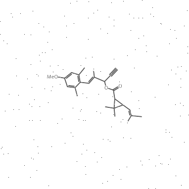 C#CC(OC(=O)C1C(C=C(C)C)C1(C)C)C(C)=Cc1c(C)cc(OC)cc1C